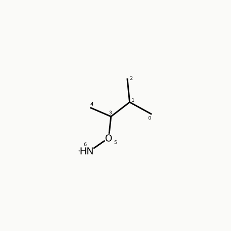 CC(C)C(C)O[NH]